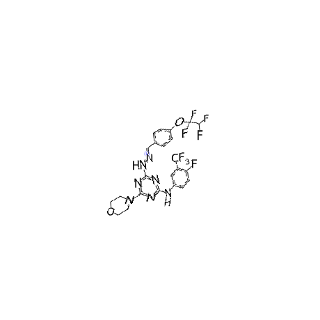 Fc1ccc(Nc2nc(N/N=C/c3ccc(OC(F)(F)C(F)F)cc3)nc(N3CCOCC3)n2)cc1C(F)(F)F